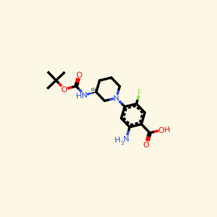 CC(C)(C)OC(=O)N[C@H]1CCCN(c2cc(N)c(C(=O)O)cc2F)C1